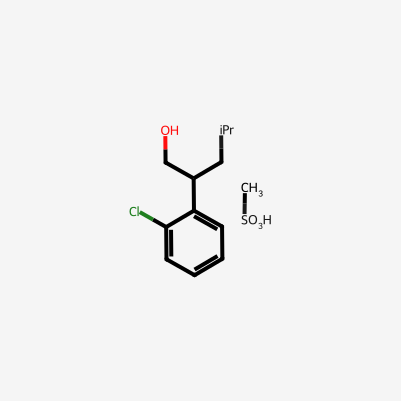 CC(C)CC(CO)c1ccccc1Cl.CS(=O)(=O)O